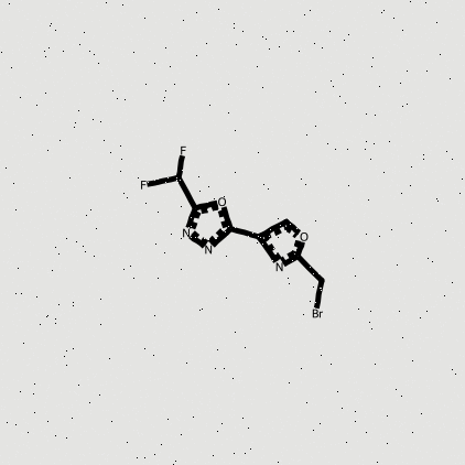 FC(F)c1nnc(-c2coc(CBr)n2)o1